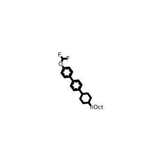 CCCCCCCCC1CC[C](c2ccc(-c3ccc(OC(F)F)cc3)cc2)CC1